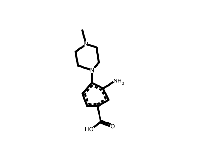 CN1CCN(c2ccc(C(=O)O)cc2N)CC1